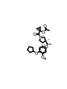 COc1ccc([C@@H]2CN(C(=O)C3(OC(C)=O)CC3)C[C@@]2(C)[C@@H](C)O)cc1OC1CCCC1